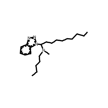 CCCCCCCCCC(N(C)CCCCC)n1nnc2ccccc21